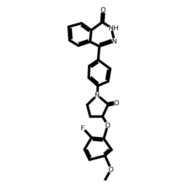 COc1ccc(F)c(OC2CCN(c3ccc(-c4n[nH]c(=O)c5ccccc45)cc3)C2=O)c1